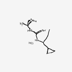 CCC(NC(=N)NC(=N)N)C1CC1.Cl